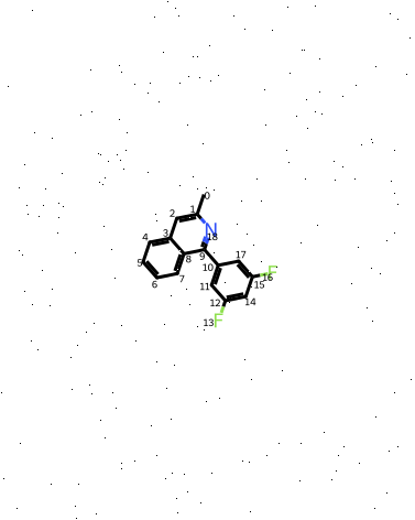 Cc1cc2ccccc2c(-c2cc(F)cc(F)c2)n1